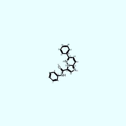 O=C(Nc1ccccc1)c1cnc2ccc(-c3ccccc3)nn12